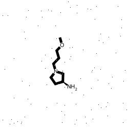 COCCCN1CC[C@H](N)C1